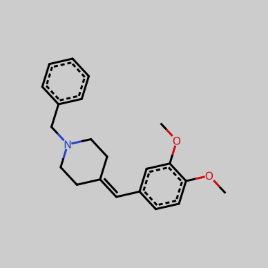 COc1ccc(C=C2CCN(Cc3ccccc3)CC2)cc1OC